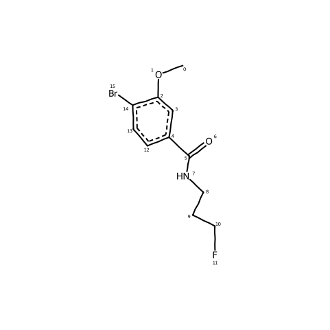 COc1cc(C(=O)NCCCF)ccc1Br